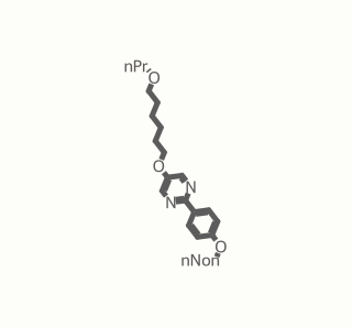 CCCCCCCCCOc1ccc(-c2ncc(OCCCCCCOCCC)cn2)cc1